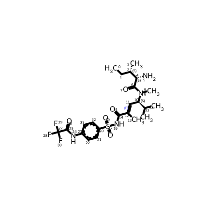 CC[C@H](C)[C@H](N)C(=O)N(C)[C@H](/C=C(\C)C(=O)NS(=O)(=O)c1ccc(NC(=O)C(F)(F)F)cc1)C(C)C